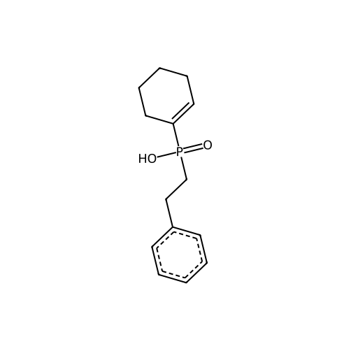 O=P(O)(CCc1ccccc1)C1=CCCCC1